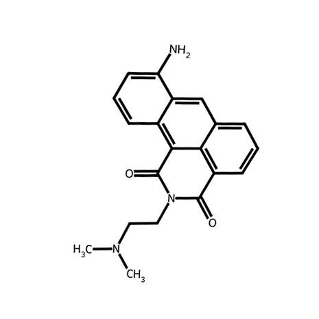 CN(C)CCN1C(=O)c2cccc3cc4c(N)cccc4c(c23)C1=O